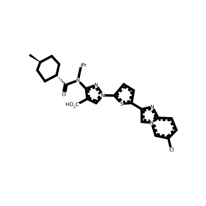 CC(C)N(c1nn(-c2ccc(-c3cn4cc(Cl)ccc4n3)s2)cc1C(=O)O)C(=O)[C@H]1CC[C@H](C)CC1